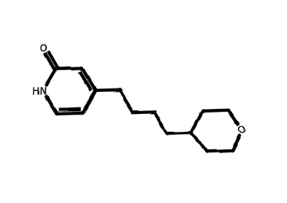 O=c1cc(CCCCC2CCOCC2)cc[nH]1